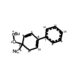 CCCCOC1(C#N)C=CC(c2ccccc2)=CC1